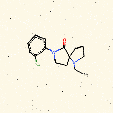 CC(C)CN1CCCC12CCN(c1ccccc1Cl)C2=O